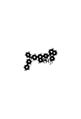 C[Si]1(C)c2cc(N(c3ccccc3)c3cccc4ccccc34)ccc2-c2ccc(-c3ccc(N(c4ccccc4)c4ccc(-c5ccccc5)cc4)cc3)c3cccc1c23